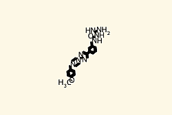 COc1ccc(CN2CCN(c3ncc(-c4cccc(CNC(=O)NC(=N)N)c4)cn3)CC2)cc1